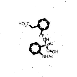 CC(=O)Nc1ccccc1[As](=O)(O)OO.O=C(O)Cc1ccccc1C(F)(F)F